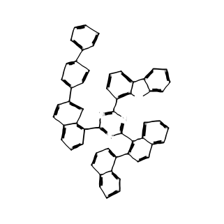 c1ccc(-c2ccc(-c3ccc4cccc(-c5nc(-c6c(-c7cccc8ccccc78)ccc7ccccc67)nc(-c6cccc7c6oc6ccccc67)n5)c4c3)cc2)cc1